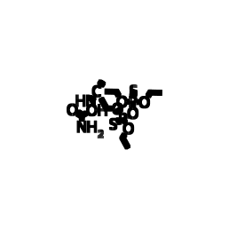 C=C=N.CCOP(=S)(OCC)OP(=S)(OCC)OCC.NC(=O)O